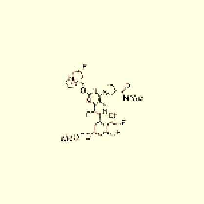 CCc1c(F)ccc2cc(OCOC)cc(-c3ncc4c(N5CCC(C(=O)NC)C5)nc(OC[C@@]56CCCN5C[C@H](F)C6)nc4c3F)c12